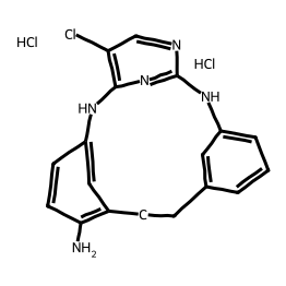 Cl.Cl.Nc1ccc2cc1CCc1cccc(c1)Nc1ncc(Cl)c(n1)N2